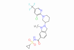 CN1c2cc(C(=O)NS(=O)(=O)C3CC3)ccc2CN1C1CCCN(c2ncc(C(F)(F)F)cc2Cl)C1